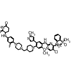 COc1cc(N2CCC(CN3CCN(c4ccc(NC5CCC(=O)NC5=O)cc4F)CC3)CC2)c(-c2cnn(C)c2)cc1Nc1ncc(Cl)c(Nc2ccccc2P(C)(C)=O)n1